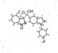 OC(c1ccc2c(cnn2-c2ccc(F)cc2)c1)(c1n[nH]c2ccccc12)C(F)(F)F